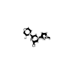 C[C@@H]1COCCN1C1=NC(Cl)=CN(c2ccn(C)n2)C1